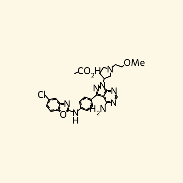 CC(=O)O.COCCN1CCC(n2nc(-c3ccc(Nc4nc5cc(Cl)ccc5o4)cc3)c3c(N)ncnc32)C1